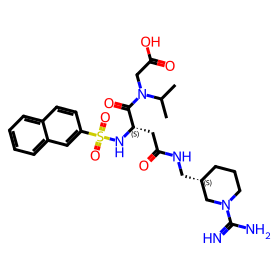 CC(C)N(CC(=O)O)C(=O)[C@H](CC(=O)NC[C@@H]1CCCN(C(=N)N)C1)NS(=O)(=O)c1ccc2ccccc2c1